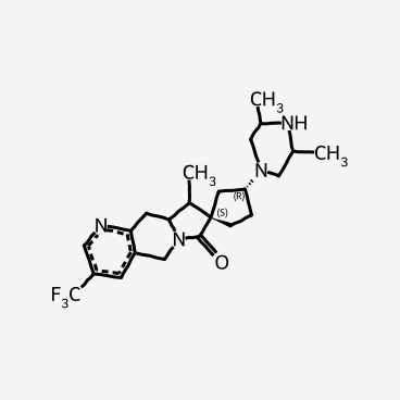 CC1CN([C@@H]2CC[C@@]3(C2)C(=O)N2Cc4cc(C(F)(F)F)cnc4CC2C3C)CC(C)N1